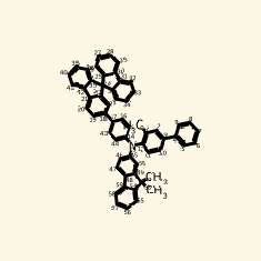 Cc1cc(-c2ccccc2)ccc1N(c1ccc(-c2ccc3c(c2)C2(c4ccccc4-c4ccccc42)c2ccccc2-3)cc1)c1ccc2c(c1)C(C)(C)c1ccccc1-2